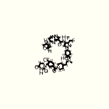 CN(CCC1CCN(C(=O)c2ccc(Cl)c(N3CCC(=O)NC3=O)c2)CC1)CC1(O)CCC(n2cc(NC(=O)c3cnn4ccc(N5C[C@H]6C[C@@H]5CO6)nc34)c(C(F)F)n2)CC1